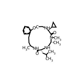 CC(C)C[C@H]1NC[C@@H](C)N(C)C(=O)[C@H](C2CC2)NCCOc2ccccc2CC[C@H](C)NC1=O